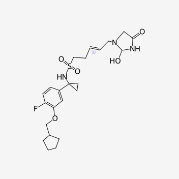 O=C1CN(C/C=C/CCS(=O)(=O)NC2(c3ccc(F)c(OCC4CCCC4)c3)CC2)C(O)N1